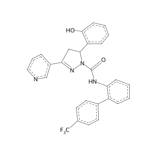 O=C(Nc1ccccc1-c1ccc(C(F)(F)F)cc1)N1N=C(c2cccnc2)CC1c1ccccc1O